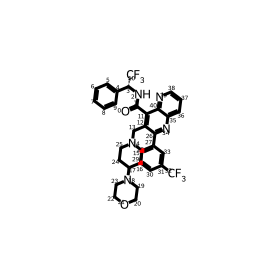 O=C(N[C@H](c1ccccc1)C(F)(F)F)c1c(CN2CCC(N3CCOCC3)CC2)c(-c2cccc(C(F)(F)F)c2)nc2cccnc12